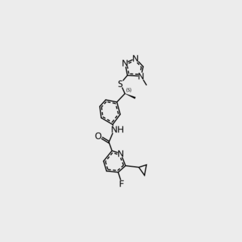 C[C@H](Sc1nncn1C)c1cccc(NC(=O)c2ccc(F)c(C3CC3)n2)c1